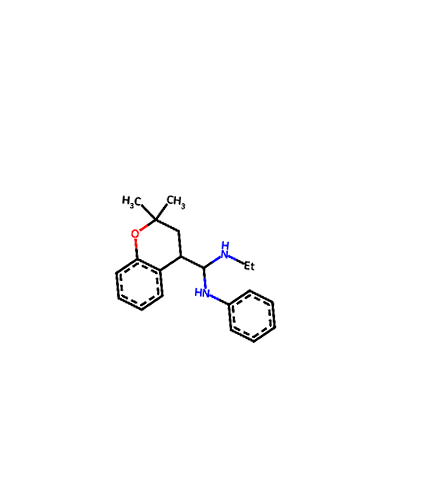 CCNC(Nc1ccccc1)C1CC(C)(C)Oc2ccccc21